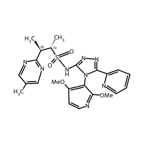 COc1ccnc(OC)c1-n1c(NS(=O)(=O)[C@@H](C)[C@H](C)c2ncc(C)cn2)nnc1-c1ccccn1